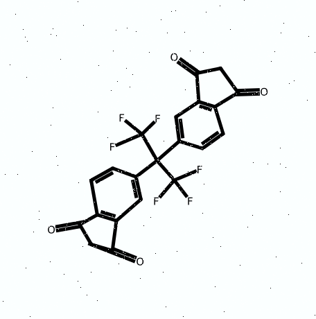 O=C1CC(=O)c2cc(C(c3ccc4c(c3)C(=O)CC4=O)(C(F)(F)F)C(F)(F)F)ccc21